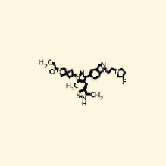 C=CC(=O)N1CC2(CC(n3nc(-c4ccc5c(cnn5CCN5CCC(F)C5)c4)c(/C=c4\cn[nH]c4=C)c3C)C2)C1